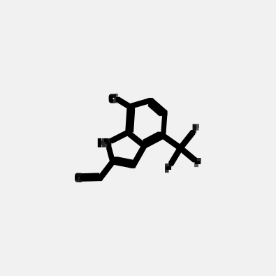 O=Cc1cc2c(C(F)(F)F)ccc(Cl)c2[nH]1